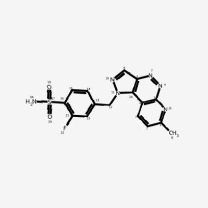 Cc1ccc2c(nnc3cnn(Cc4ccc(S(N)(=O)=O)c(F)c4)c32)n1